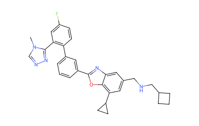 Cn1cnnc1-c1cc(F)ccc1-c1cccc(-c2nc3cc(CNCC4CCC4)cc(C4CC4)c3o2)c1